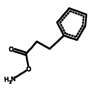 NOC(=O)CCc1ccccc1